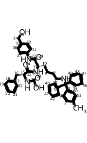 Cc1ccc(C(NCCCC[C@H](NC(=O)[C@H](Cc2ccccc2)NC(=O)O)C(=O)Nc2ccc(CO)cc2)(c2ccccc2)c2ccccc2)cc1